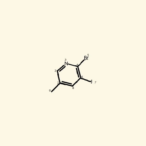 Cc1cnc(Br)c(I)c1